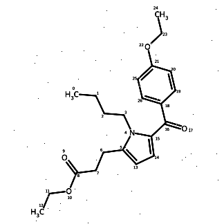 CCCCn1c(CCC(=O)OCC)ccc1C(=O)c1ccc(OCC)cc1